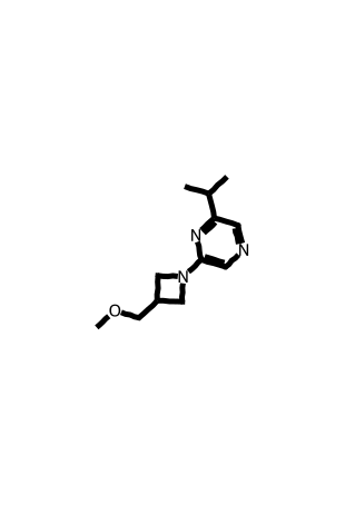 COCC1CN(c2cncc(C(C)C)n2)C1